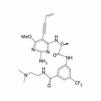 C=CC#Cc1c(N[C@@H](C)C(=O)Nc2cc(C(=O)NCCN(C)C)cc(C(F)(F)F)c2)nc(N)nc1OC